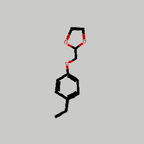 CCc1ccc(OCC2OCCO2)cc1